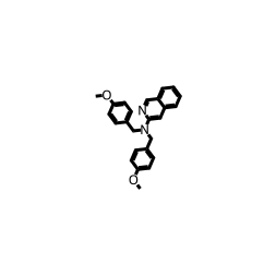 COc1ccc(CN(Cc2ccc(OC)cc2)c2cc3ccccc3cn2)cc1